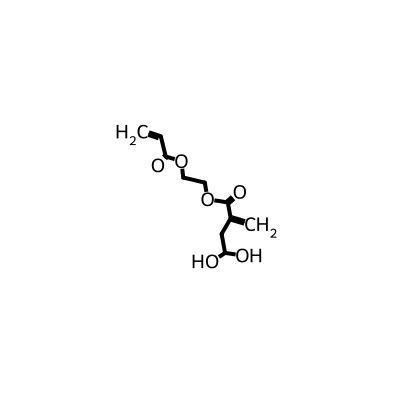 C=CC(=O)OCCOC(=O)C(=C)CC(O)O